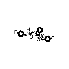 O=C(Cn1cc(S(=O)(=O)Cc2ccc(F)cc2)c2ccccc21)NCc1ccc(F)cc1